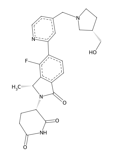 C[C@@H]1c2c(ccc(-c3cc(CN4CC[C@H](CO)C4)ccn3)c2F)C(=O)N1[C@H]1CCC(=O)NC1=O